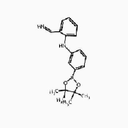 CC1(C)OB(c2cccc(Nc3ccccc3C=N)c2)OC1(C)C